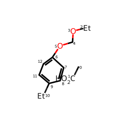 CC(=O)O.CCOCOc1ccc(CC)cc1